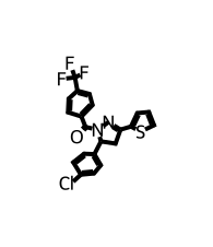 O=C(c1ccc(C(F)(F)F)cc1)N1N=C(c2cccs2)CC1c1ccc(Cl)cc1